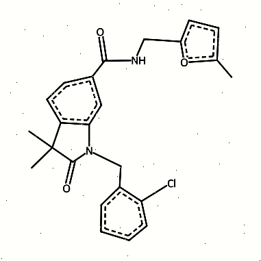 Cc1ccc(CNC(=O)c2ccc3c(c2)N(Cc2ccccc2Cl)C(=O)C3(C)C)o1